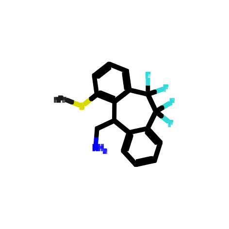 CCCSc1cccc2c1C(CN)c1ccccc1C(F)(F)C2(F)F